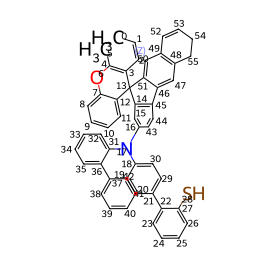 C/C=C\C1=C(C)Oc2ccccc2C12c1cc(N(c3ccc(-c4ccccc4S)cc3)c3ccccc3-c3ccccc3)ccc1-c1cc3c(cc12)C=CCC3